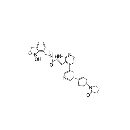 O=C(NCc1cccc2c1B(O)OC2)c1cc2c(-c3cncc(-c4ccc(N5CCCC5=O)cc4)c3)ccnc2[nH]1